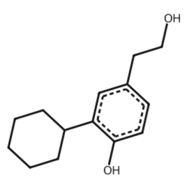 OCCc1ccc(O)c(C2CCCCC2)c1